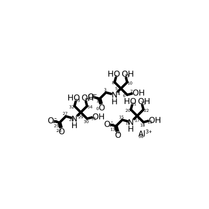 O=C([O-])CNC(CO)(CO)CO.O=C([O-])CNC(CO)(CO)CO.O=C([O-])CNC(CO)(CO)CO.[Al+3]